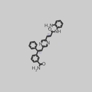 NC(=O)c1cccc(/C(=C/c2cnc(/C=C/C(=O)Nc3ccccc3N)cn2)c2ccccc2)c1